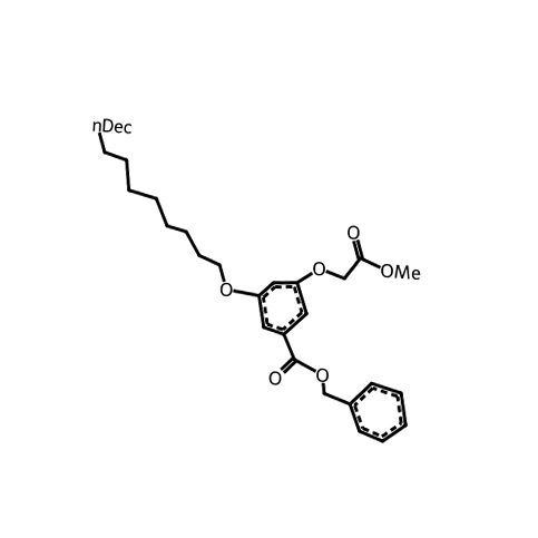 CCCCCCCCCCCCCCCCCCOc1cc(OCC(=O)OC)cc(C(=O)OCc2ccccc2)c1